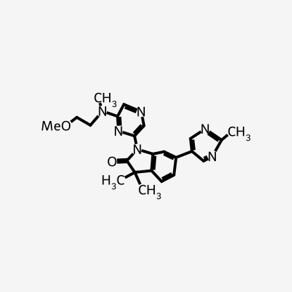 COCCN(C)c1cncc(N2C(=O)C(C)(C)c3ccc(-c4cnc(C)nc4)cc32)n1